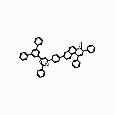 C1=CC(c2cc(-c3cc(-c4ccccc4)cc(-c4ccccc4)c3)nc(-c3ccccc3)n2)CC=C1c1ccc2c3c(ccc2c1)NC(c1ccccc1)C=C3c1ccccc1